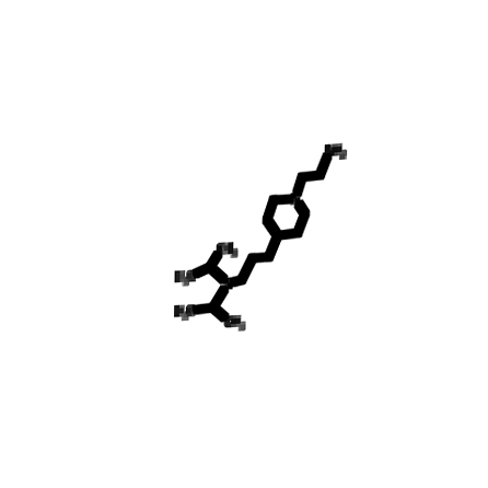 CC(C)N(CCCC1CCN(CCN)CC1)C(C)C